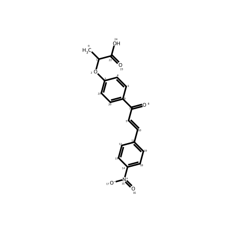 CC(Oc1ccc(C(=O)C=Cc2ccc([N+](=O)[O-])cc2)cc1)C(=O)O